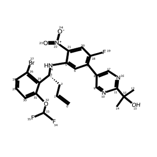 C=CC[C@@H](Nc1cc(-c2cnc(C(C)(C)O)nc2)c(F)cc1[N+](=O)[O-])c1c(Br)cccc1OC(F)F